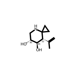 C=C(C)[C@@H]1[C@@H](O)[C@H](O)CNC12CC2